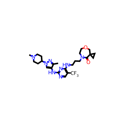 Cc1nn(C2CCN(C)CC2)cc1Nc1ncc(C(F)(F)F)c(NCCCN2CCOCC3(CC3)C2=O)n1